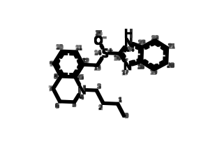 CCCCN1CCCc2cccc(C[S+]([O-])c3nc4ccccc4[nH]3)c21